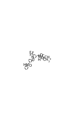 CC(C)(C)OC(=O)NCc1cc(Oc2cccc(C(=O)Nc3ccccc3)c2)nc(C(F)(F)F)c1